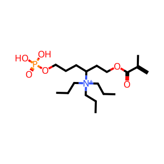 C=C(C)C(=O)OCCC(CCCOP(=O)(O)O)[N+](CCC)(CCC)CCC